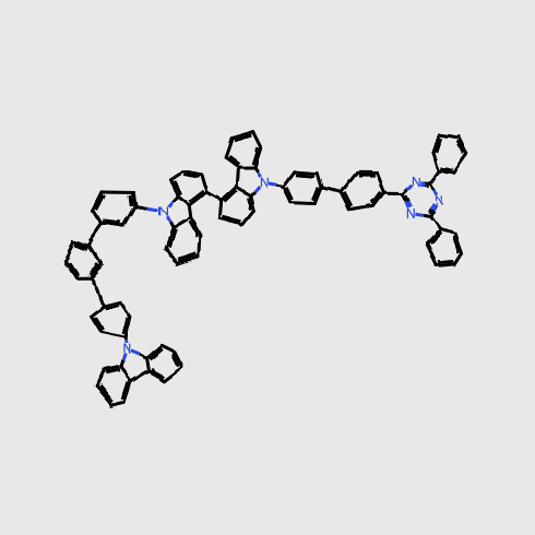 c1ccc(-c2nc(-c3ccccc3)nc(-c3ccc(-c4ccc(-n5c6ccccc6c6c(-c7cccc8c7c7ccccc7n8-c7cccc(-c8cccc(-c9ccc(-n%10c%11ccccc%11c%11ccccc%11%10)cc9)c8)c7)cccc65)cc4)cc3)n2)cc1